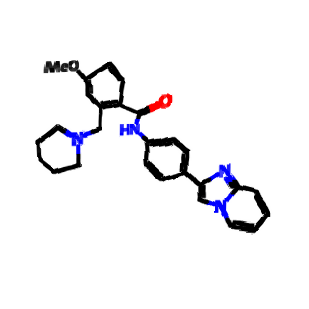 COc1ccc(C(=O)Nc2ccc(-c3cn4ccccc4n3)cc2)c(CN2CCCCC2)c1